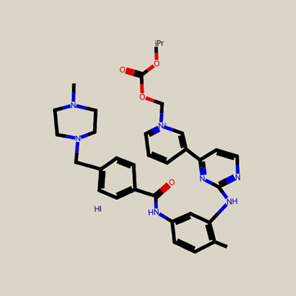 Cc1ccc(NC(=O)c2ccc(CN3CCN(C)CC3)cc2)cc1Nc1nccc(-c2ccc[n+](COC(=O)OC(C)C)c2)n1.I